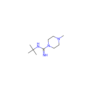 CN1CCN(C(=N)NC(C)(C)C)CC1